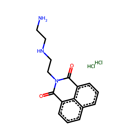 Cl.Cl.NCCNCCN1C(=O)c2cccc3cccc(c23)C1=O